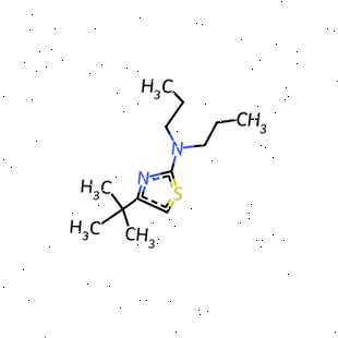 CCCN(CCC)c1nc(C(C)(C)C)cs1